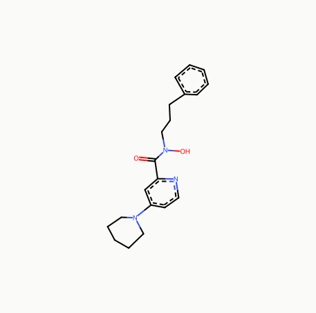 O=C(c1cc(N2CCCCC2)ccn1)N(O)CCCc1ccccc1